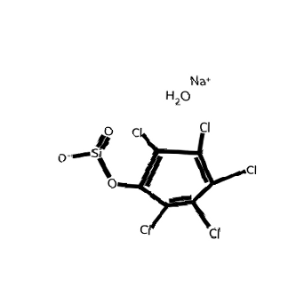 O.O=[Si]([O-])Oc1c(Cl)c(Cl)c(Cl)c(Cl)c1Cl.[Na+]